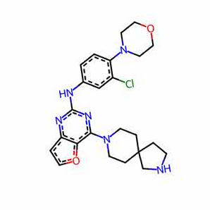 Clc1cc(Nc2nc(N3CCC4(CCNC4)CC3)c3occc3n2)ccc1N1CCOCC1